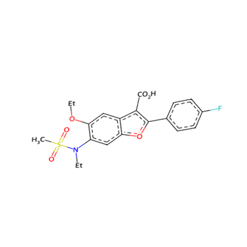 CCOc1cc2c(C(=O)O)c(-c3ccc(F)cc3)oc2cc1N(CC)S(C)(=O)=O